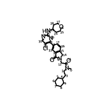 CN(CCC1CCCCC1)C(=O)CN1Cc2ccc(-c3nc(NC4CCOCC4)ncc3Cl)cc2C1=O